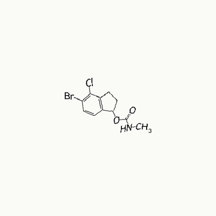 CNC(=O)OC1CCc2c1ccc(Br)c2Cl